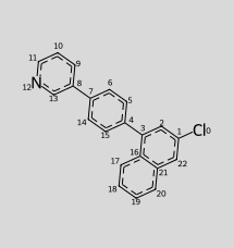 Clc1cc(-c2ccc(-c3cccnc3)cc2)c2ccccc2c1